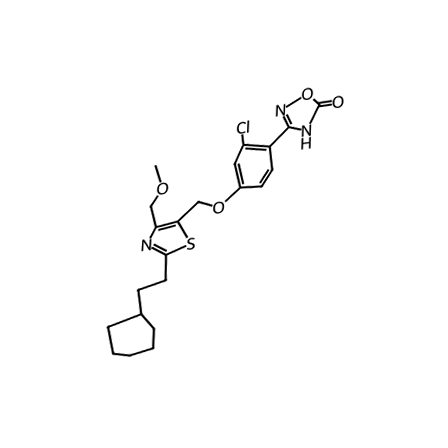 COCc1nc(CCC2CCCCC2)sc1COc1ccc(-c2noc(=O)[nH]2)c(Cl)c1